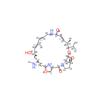 CN[C@H]1Cc2nc(co2)C(=O)N2CCC[C@@H]2C(=O)OC(C(C)C)[C@H](C)/C=C/C(=O)NC/C=C/C(C)=C/[C@@H](O)C1